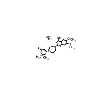 COc1cc2nc(N3CCCN(C4=CC(=O)CC(C)(C)C4)CC3)nc(N)c2cc1OC.Cl.Cl